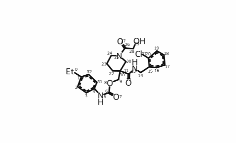 CCc1ccc(NC(=O)OCC2(C(=O)NCc3ccccc3Cl)CCCN(C(=O)CO)C2)cc1